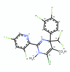 CN1C(c2ncc(F)cc2F)=NC(c2ccc(F)c(F)c2)(C(F)F)C(C(=O)O)=C1Cl